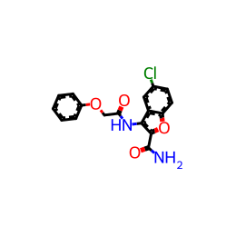 NC(=O)c1oc2ccc(Cl)cc2c1NC(=O)COc1ccccc1